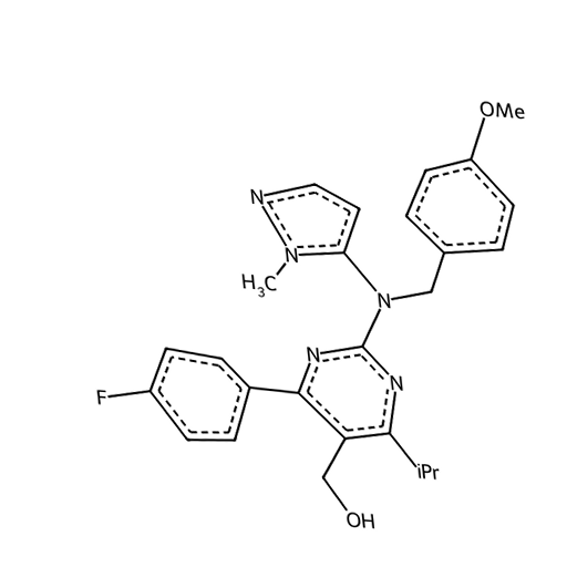 COc1ccc(CN(c2nc(-c3ccc(F)cc3)c(CO)c(C(C)C)n2)c2ccnn2C)cc1